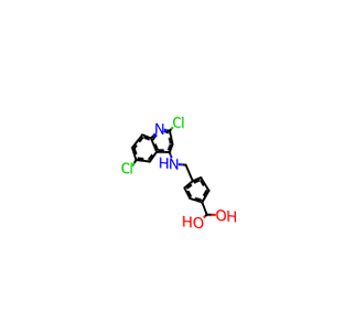 OC(O)c1ccc(CNc2cc(Cl)nc3ccc(Cl)cc23)cc1